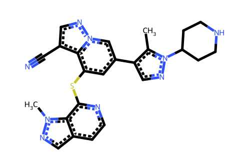 Cc1c(-c2cc(Sc3nccc4cnn(C)c34)c3c(C#N)cnn3c2)cnn1C1CCNCC1